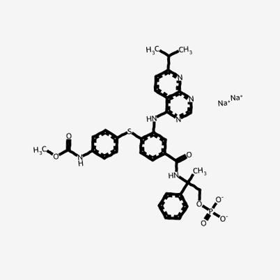 COC(=O)Nc1ccc(Sc2ccc(C(=O)NC(C)(COP(=O)([O-])[O-])c3ccccc3)cc2Nc2ncnc3nc(C(C)C)ccc23)cc1.[Na+].[Na+]